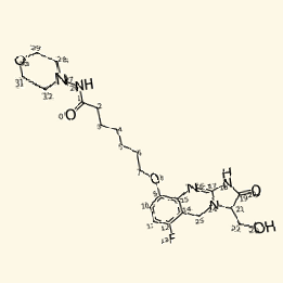 O=C(CCCCCCOc1ccc(F)c2c1N=C1NC(=O)C(CO)N1C2)NN1CCOCC1